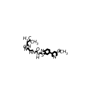 COc1cncc(-c2ccc3nc(NC(=O)NCCc4noc(CC(C)C)n4)sc3c2)c1